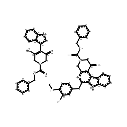 COc1ccc(Cc2nc3c(c4c2[nH]c2ccccc24)C(=O)CN(C(=O)OCc2ccccc2)C3)cc1F.O=C1CN(C(=O)OCc2ccccc2)CC(O)=C1c1c[nH]c2ccccc12